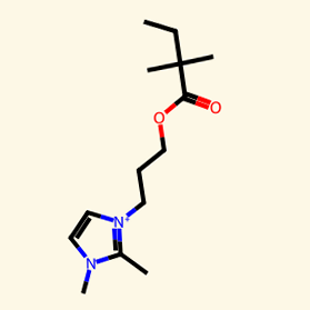 CCC(C)(C)C(=O)OCCC[n+]1ccn(C)c1C